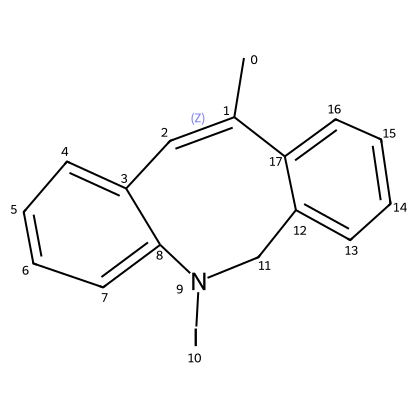 C/C1=C/c2ccccc2N(I)Cc2ccccc21